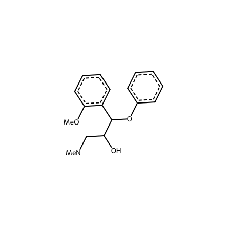 CNCC(O)C(Oc1ccccc1)c1ccccc1OC